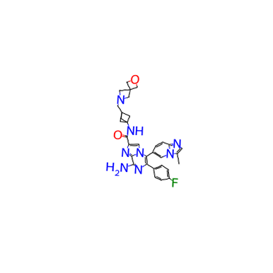 Cc1cnc2ccc(-c3c(-c4ccc(F)cc4)nc(N)c4nc(C(=O)NC56CC(CN7CC8(COC8)C7)(C5)C6)cn34)cn12